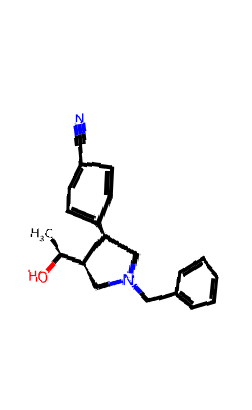 C[C@H](O)[C@@H]1CN(Cc2ccccc2)C[C@@H]1c1ccc(C#N)cc1